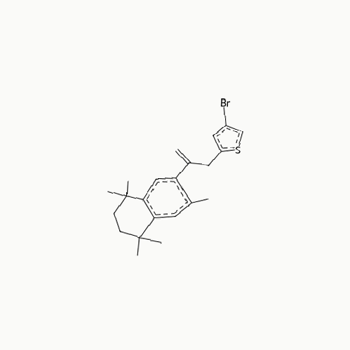 C=C(Cc1cc(Br)cs1)c1cc2c(cc1C)C(C)(C)CCC2(C)C